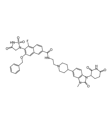 Cn1c(=O)n(C2CCC(=O)NC2=O)c2ccc(C3CCN(CCNC(=O)c4ccc5c(F)c(N6CC(=O)NS6(=O)=O)c(OCc6ccccc6)cc5c4)CC3)cc21